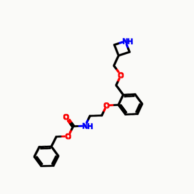 O=C(NCCOc1ccccc1COCC1CNC1)OCc1ccccc1